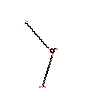 O=Cc1cc(OCCCCCCCC=CCC=CCCCCCCCC(=O)O)cc(OCCCCCCCC=CCC=CCCCCCCCC(=O)O)c1